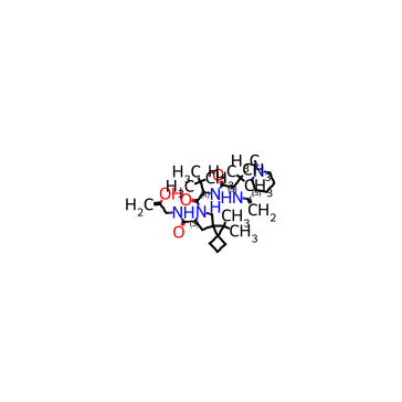 C=C(O)CNC(=O)[C@@H]1CC2(CN1C(=O)[C@H](NC(=O)[C@@H](NC(=C)[C@H]1CCCN(C)C1)C(C)(C)C)C(C)(C)C)C(C)(C)C21CCC1